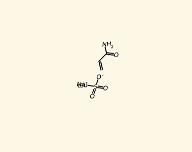 C=CC(N)=O.CC(C)(C)S(=O)(=O)[O-].[Na+]